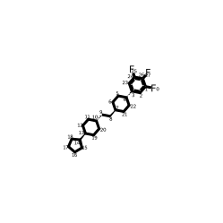 Fc1cc([C@H]2CC[C@H](CC[C@H]3CC[C@H](C4CCCC4)CC3)CC2)cc(F)c1F